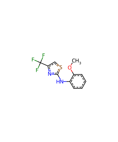 COc1ccccc1Nc1nc(C(F)(F)F)cs1